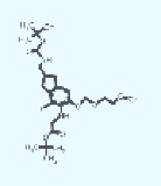 COCCOCOc1cc2c(c(F)c1NCC(=O)OC(C)(C)C)CC(CNC(=O)OC(C)(C)C)C2